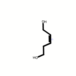 OC/C=C\CCO